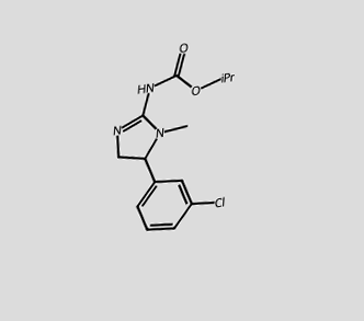 CC(C)OC(=O)NC1=NCC(c2cccc(Cl)c2)N1C